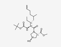 C=CCCC(C)C[C@@H](CC)[C@H](NC(=O)OC(C)(C)C)C(=O)N1C[C@H](O)C[C@H]1C(=O)OC